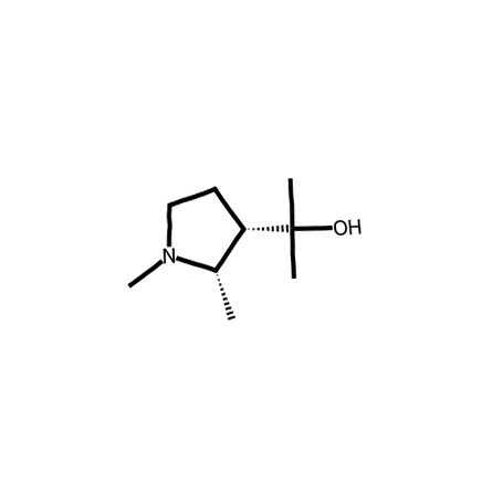 C[C@H]1[C@@H](C(C)(C)O)CCN1C